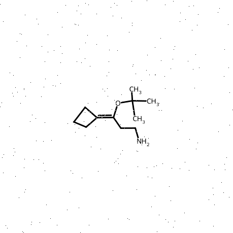 CC(C)(C)OC(CCN)=C1CCC1